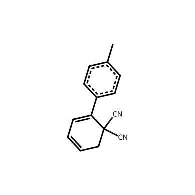 Cc1ccc(C2=CC=CCC2(C#N)C#N)cc1